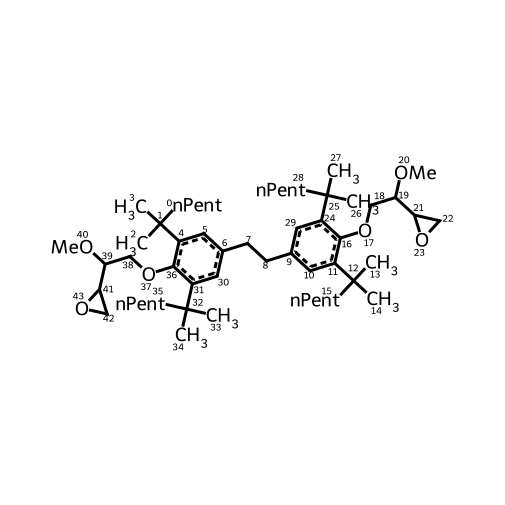 CCCCCC(C)(C)c1cc(CCc2cc(C(C)(C)CCCCC)c(OCC(OC)C3CO3)c(C(C)(C)CCCCC)c2)cc(C(C)(C)CCCCC)c1OCC(OC)C1CO1